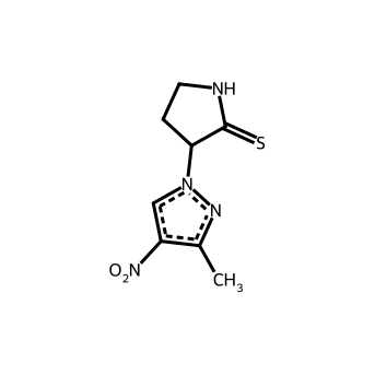 Cc1nn(C2CCNC2=S)cc1[N+](=O)[O-]